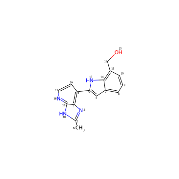 Cc1nc2c(-c3cc4cccc(CO)c4[nH]3)ccnc2[nH]1